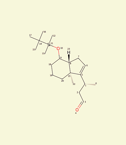 C[C@H](CC=O)C1=CC[C@H]2C(O[Si](C)(C)C(C)(C)C)CCC[C@]12C